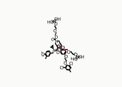 COc1ccc(CN(C(=O)C2C(c3ccc(OCCOc4c(Cl)cc(C)cc4Cl)cc3)CC3CN(C(=O)OCCOCCON(O)O)CC2N3C(=O)OCCOCCON(O)O)C2CC2)cc1C